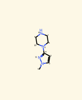 Cn1ccc(N2CCNCC2)n1